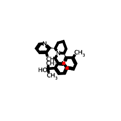 Cc1cccnc1[C@H]1CCC[C@@H](c2ncccc2C)N1Cc1ccccc1C(C)(C)O